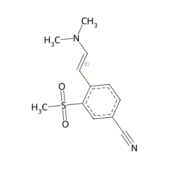 CN(C)/C=C/c1ccc(C#N)cc1S(C)(=O)=O